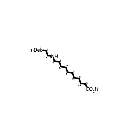 CCCCCCCCCCCCNCCCCCCCCCCC(=O)O